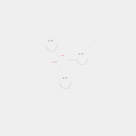 Cc1ccc(CNC(=O)[C@H](OCc2cccc(C#N)c2)c2ccccc2)cc1